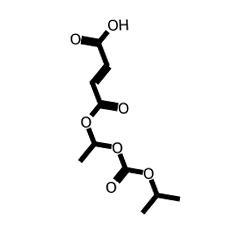 CC(C)OC(=O)OC(C)OC(=O)/C=C/C(=O)O